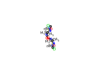 CCCCN(C(=O)c1cccc(Cl)c1F)c1nnc(-c2cc(C)c(CN3CCC(C(=O)OC(=O)C4CN(Cc5c(C)cc(-c6nnc(N(CCCC)C(=O)c7cccc(Cl)c7F)s6)cc5C)C4)CC3)c(C)c2)s1